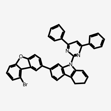 Brc1cccc2oc3ccc(-c4ccc5c6c(n(-c7nc(-c8ccccc8)cc(-c8ccccc8)n7)c5c4)C=CCC6)cc3c12